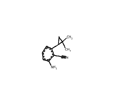 CC1(C)CC1c1cccc(N)c1C#N